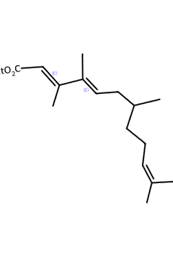 CCOC(=O)/C=C(C)/C(C)=C/CC(C)CCC=C(C)C